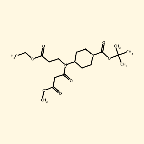 CCOC(=O)CCN(C(=O)CC(=O)OC)C1CCN(C(=O)OC(C)(C)C)CC1